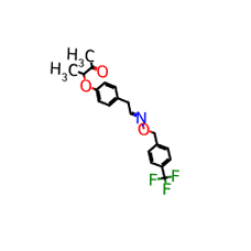 CC(=O)C(C)Oc1ccc(CC=NOCc2ccc(C(F)(F)F)cc2)cc1